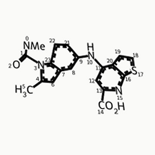 CNC(=O)n1c(C)cc2cc(Nc3cc(C(=O)O)nc4sccc34)ccc21